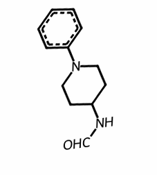 O=CNC1CCN(c2ccccc2)CC1